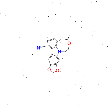 CC1Cc2ccc(C#N)cc2N(c2ccc3c(c2)OCO3)CCO1